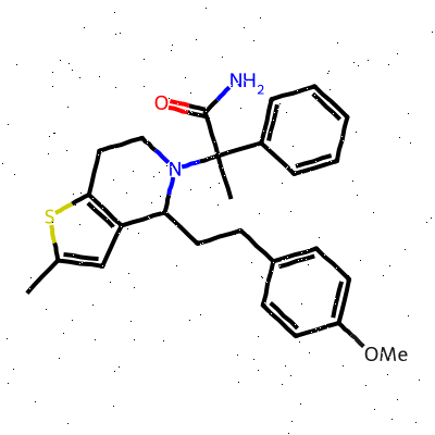 COc1ccc(CCC2c3cc(C)sc3CCN2C(C)(C(N)=O)c2ccccc2)cc1